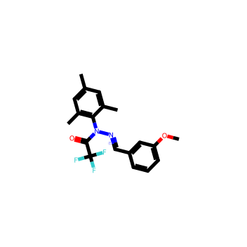 COc1cccc(/C=N/N(C(=O)C(F)(F)F)c2c(C)cc(C)cc2C)c1